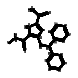 CNC(=O)c1[nH]c(C(=O)O)cc1OC(c1ccccc1)c1ccccc1